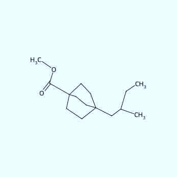 CCC(C)CC12CCC(C(=O)OC)(CC1)CC2